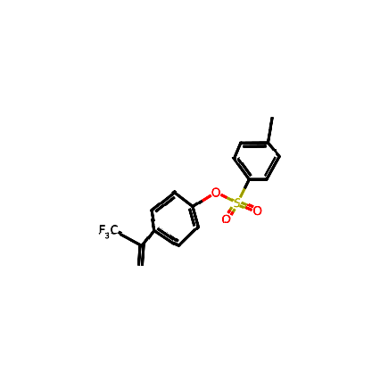 C=C(c1ccc(OS(=O)(=O)c2ccc(C)cc2)cc1)C(F)(F)F